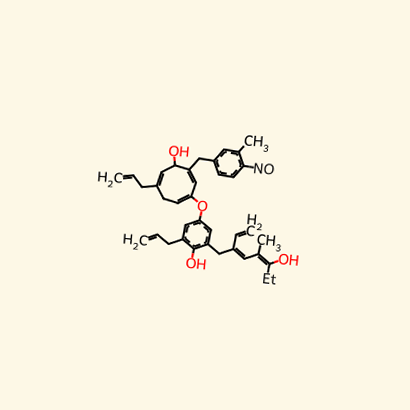 C=CCC1=CC(O)/C(Cc2ccc(N=O)c(C)c2)=C\C(Oc2cc(CC=C)c(O)c(C/C(C=C)=C/C(C)=C(/O)CC)c2)=C/C1